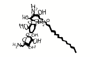 CCCCCCCCCCCCCCCC(=O)NCC1O[C@H](O[C@@H]2C(O)C(O[C@H]3O[C@H](CN)[C@@H](O)C(O)C3O)CC[C@H]2N)C(O)[C@@H](N)[C@@H]1O